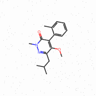 COc1c(CC(C)C)nn(C)c(=O)c1-c1ccccc1C